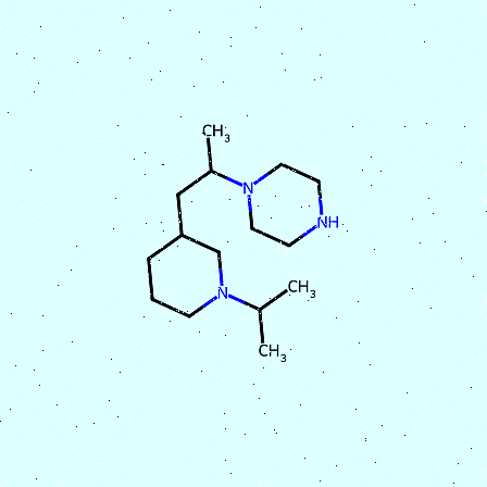 CC(C)N1CCCC(CC(C)N2CCNCC2)C1